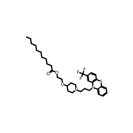 CCCCCCCCCCC(=O)OCCOC1CCN(CCCN2c3ccccc3Sc3ccc(C(F)(F)F)cc32)CC1